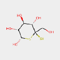 OC[C@]1(S)S[C@H](O)[C@H](O)[C@@H](O)[C@@H]1O